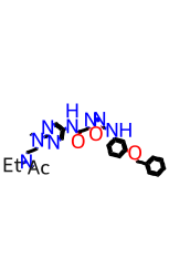 CCN(CCN(C)c1ncc(NC(=O)c2nnc(Nc3cccc(OCc4ccccc4)c3)o2)cn1)C(C)=O